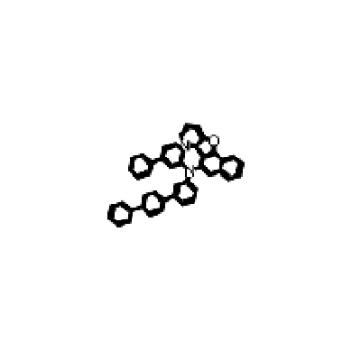 c1ccc(-c2ccc(-c3cccc(N(c4cccc(-c5ccccc5)c4)c4cc5ccccc5c5oc6cccnc6c45)c3)cc2)cc1